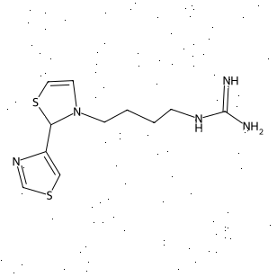 N=C(N)NCCCCN1C=CSC1c1cscn1